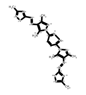 Cc1nsc(N=Nc2c(C)nn(-c3ccc(-n4nc(C)c(N=Nc5nc(C)ns5)c4N)nn3)c2N)n1